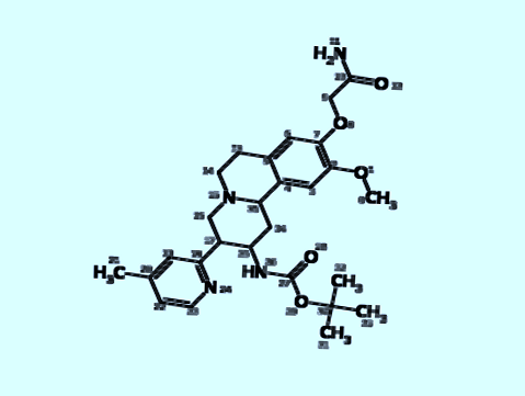 COc1cc2c(cc1OCC(N)=O)CCN1CC(c3cc(C)ccn3)C(NC(=O)OC(C)(C)C)CC21